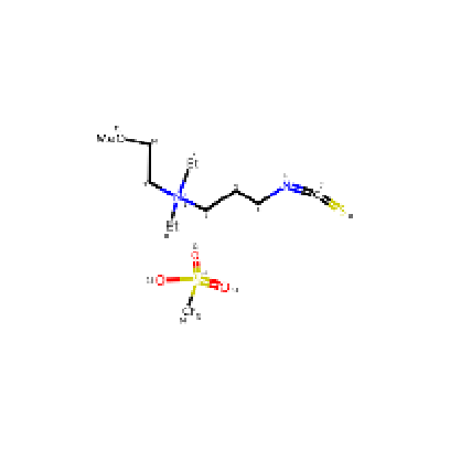 CC[N+](CC)(CCCN=C=S)CCOC.O=S(=O)([O-])C(F)(F)F